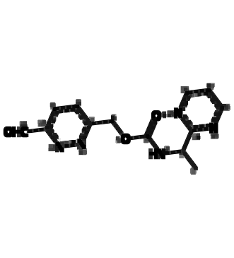 CC(NC(=O)OCc1ccc(C=O)nn1)c1ncccn1